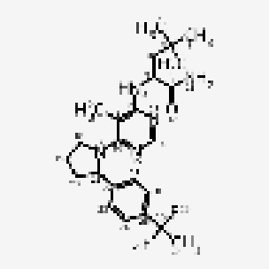 Cc1c(NC(CC(C)(C)C)C(N)=O)ncnc1N1CCCC1c1ccc(C(C)(F)F)cc1